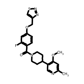 COc1cc(C)ncc1C1CCN(C(=O)c2ccc(OCc3csnn3)cc2F)CC1